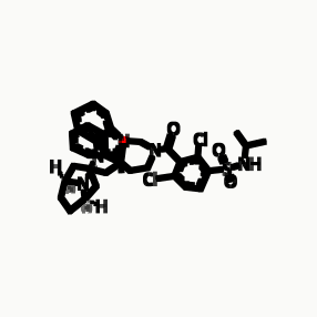 Cc1nc2ccccc2n1[C@H]1C[C@H]2CC[C@@H](C1)N2CCC1(c2ccccc2)CCN(C(=O)c2c(Cl)ccc(S(=O)(=O)NC(C)C)c2Cl)CC1